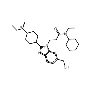 CC[C@@H](C)C1CCC(c2nc3ccc(CO)cc3n2CCC(=O)N(CC)C2CCCCC2)CC1